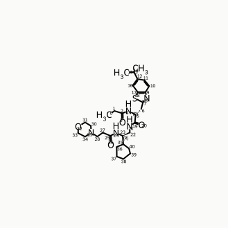 CCC(=O)N[C@H](Cc1nc2ccc(C(C)C)cc2s1)C(=O)NC[C@H](NC(=O)CCN1CCOCC1)C1CCCCC1